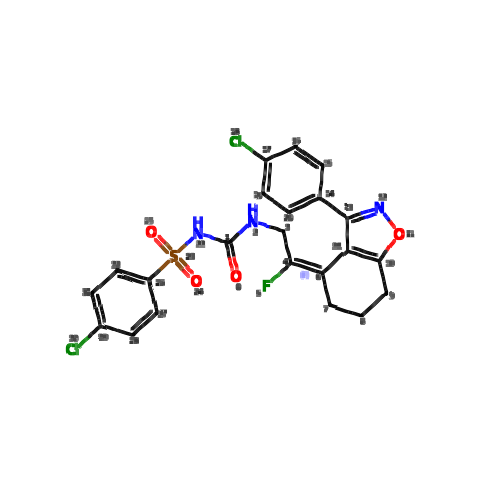 O=C(NC/C(F)=C1/CCCc2onc(-c3ccc(Cl)cc3)c21)NS(=O)(=O)c1ccc(Cl)cc1